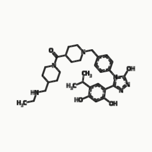 CCNCC1CCN(C(=O)C2CCN(Cc3ccc(-n4c(O)nnc4-c4cc(C(C)C)c(O)cc4O)cc3)CC2)CC1